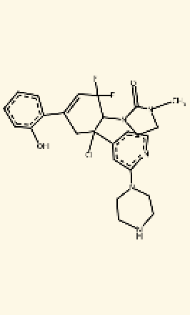 CN1CCN(C2C(F)(F)C=C(c3ccccc3O)CC2(Cl)c2ccnc(N3CCNCC3)c2)C1=O